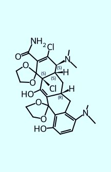 CN(C)c1ccc(O)c2c1C[C@H]1C[C@H]3[C@H](N(C)C)C(Cl)=C(C(N)=O)C4(OCCO4)[C@@]3(Cl)C(O)=C1C21OCCO1